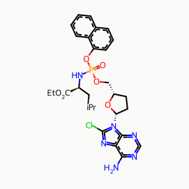 CCOC(=O)[C@H](CC(C)C)NP(=O)(OC[C@@H]1CC[C@H](n2c(Cl)nc3c(N)ncnc32)O1)Oc1cccc2ccccc12